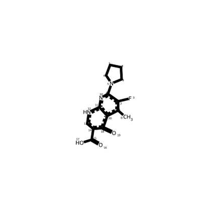 Cc1c(F)c(N2CCCC2)nc2[nH]cc(C(=O)O)c(=O)c12